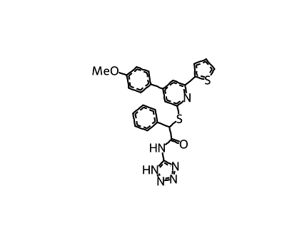 COc1ccc(-c2cc(SC(C(=O)Nc3nnn[nH]3)c3ccccc3)nc(-c3cccs3)c2)cc1